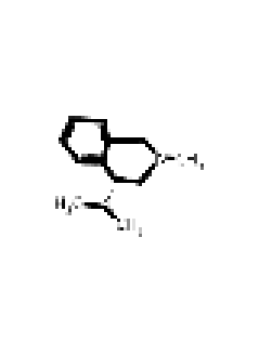 CC(C)[C@H]1CN(C)Cc2ccccc21